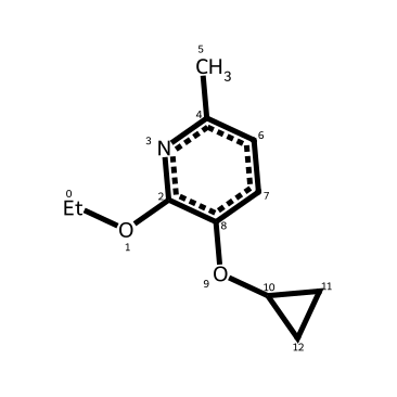 CCOc1nc(C)ccc1OC1CC1